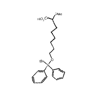 COC(CCCCCCO[Si](c1ccccc1)(c1ccccc1)C(C)(C)C)C(=O)O